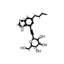 CCCCc1cc(C#CC2OC(CO)[C@@H](O)C(O)C2O)c2[nH]cnc2c1